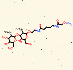 CC(=O)NC1C(OC2C(O)C(CO)OC(OCCNC(=O)CCCCNC(=O)CON)C2NC(C)=O)OC(CO)C(O)C1O